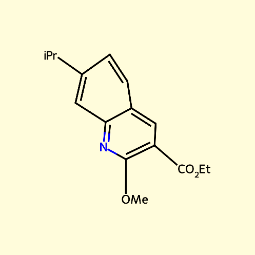 CCOC(=O)c1cc2ccc(C(C)C)cc2nc1OC